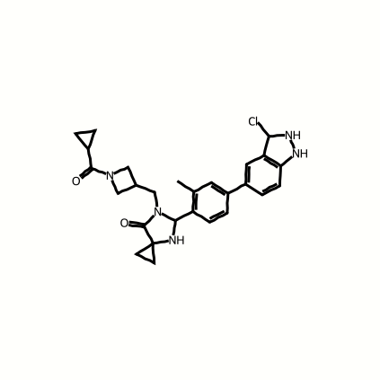 Cc1cc(-c2ccc3c(c2)C(Cl)NN3)ccc1C1NC2(CC2)C(=O)N1CC1CN(C(=O)C2CC2)C1